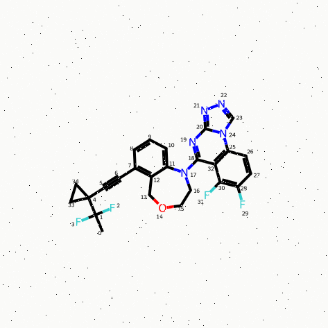 CC(F)(F)C1(C#Cc2cccc3c2COCCN3c2nc3nncn3c3ccc(F)c(F)c23)CC1